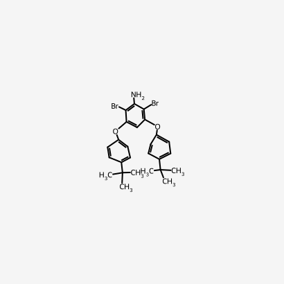 CC(C)(C)c1ccc(Oc2cc(Oc3ccc(C(C)(C)C)cc3)c(Br)c(N)c2Br)cc1